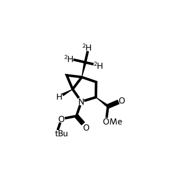 [2H]C([2H])([2H])[C@@]12C[C@@H](C(=O)OC)N(C(=O)OC(C)(C)C)[C@@H]1C2